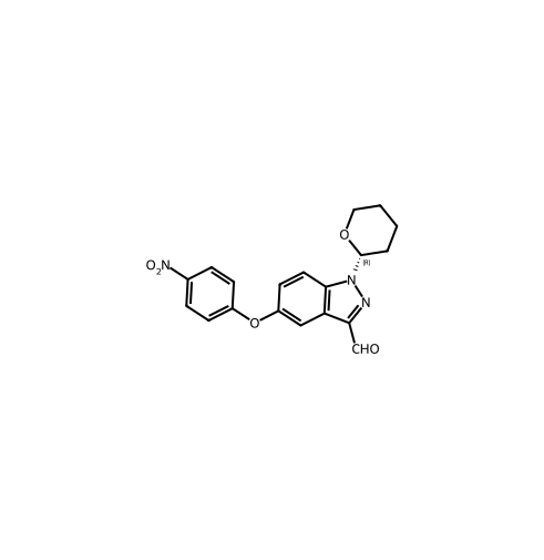 O=Cc1nn([C@H]2CCCCO2)c2ccc(Oc3ccc([N+](=O)[O-])cc3)cc12